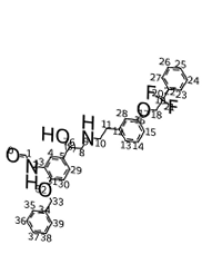 O=CNc1cc([C@H](O)CNCCc2cccc(OCC(F)(F)c3ccccc3)c2)ccc1OCc1ccccc1